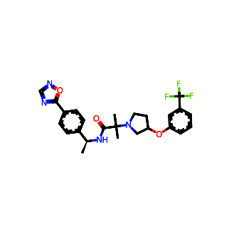 C[C@H](NC(=O)C(C)(C)N1CCC(Oc2cccc(C(F)(F)F)c2)C1)c1ccc(-c2ncno2)cc1